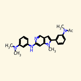 CC(=O)N(C)c1cccc(-c2cc3cnc(Nc4cccc(N(C)C)c4)cc3n2C)c1